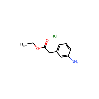 CCOC(=O)Cc1cccc(N)c1.Cl